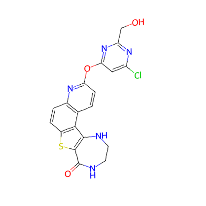 O=C1NCCNc2c1sc1ccc3nc(Oc4cc(Cl)nc(CO)n4)ccc3c21